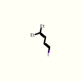 CCC(=CC=CI)CC